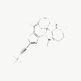 CC(=O)N(c1cc(C#CC(C)(C)C)sc1C(=O)O)C1([C@@H]2CCCN(C)C2=O)CCCCC1